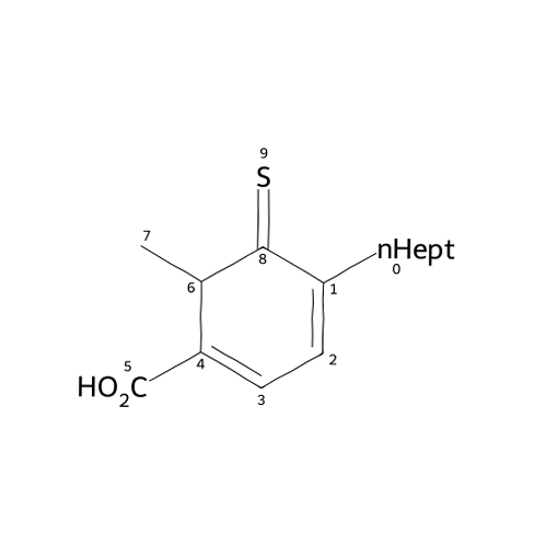 CCCCCCCC1=CC=C(C(=O)O)C(C)C1=S